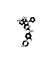 O=C1NCCC12C(=O)N(C1CCCC1)c1nc(Nc3ccc(N4CCNCC4)c(F)c3)ncc12